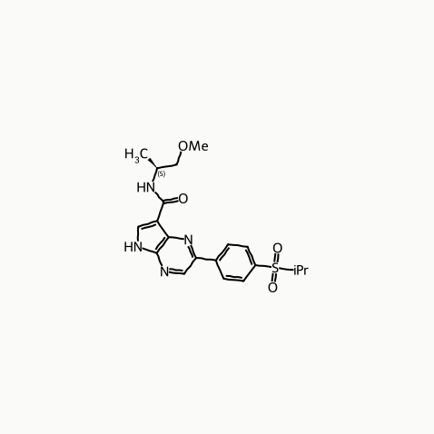 COC[C@H](C)NC(=O)c1c[nH]c2ncc(-c3ccc(S(=O)(=O)C(C)C)cc3)nc12